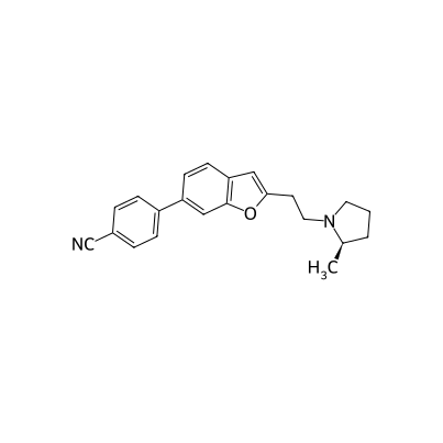 C[C@@H]1CCCN1CCc1cc2ccc(-c3ccc(C#N)cc3)cc2o1